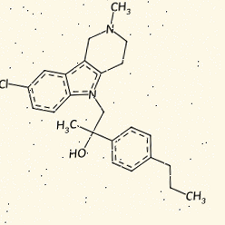 CCCc1ccc(C(C)(O)Cn2c3c(c4cc(Cl)ccc42)CN(C)CC3)cc1